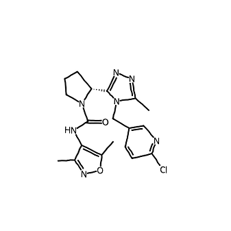 Cc1noc(C)c1NC(=O)N1CCC[C@@H]1c1nnc(C)n1Cc1ccc(Cl)nc1